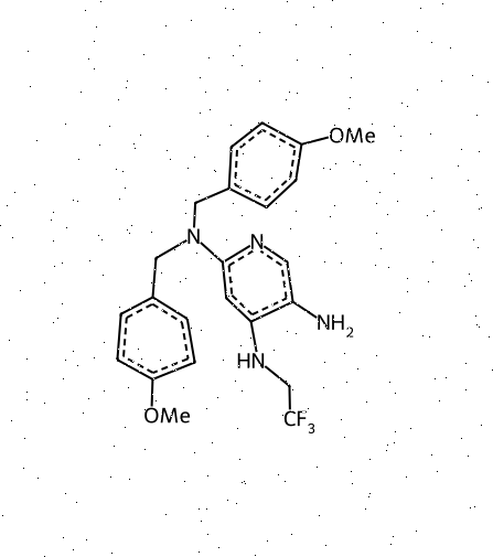 COc1ccc(CN(Cc2ccc(OC)cc2)c2cc(NCC(F)(F)F)c(N)cn2)cc1